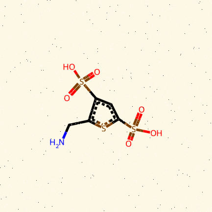 NCc1sc(S(=O)(=O)O)cc1S(=O)(=O)O